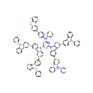 c1ccc(-n2c3ccccc3c3cc(-c4ccc5c(c4)c4cc(-c6ccc7c(c6)c6ccccc6n7-c6ccccc6)ccc4n5-c4nc(-n5c6ccccc6c6cc(-c7ccc8oc9ccccc9c8c7)ccc65)nc(-n5c6ccc(-c7ccc8c(c7)c7ccccc7n8-c7ccccc7)cc6c6cc(-c7ccc8c(c7)c7ccccc7n8-c7ccccc7)ccc65)n4)ccc32)cc1